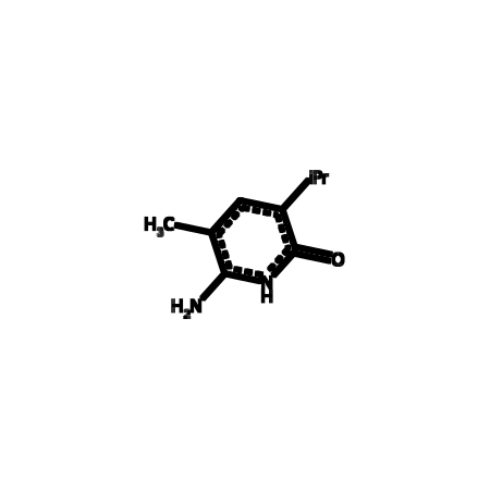 Cc1cc(C(C)C)c(=O)[nH]c1N